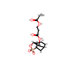 CCC(C)C(=O)OCCC(=O)OC1C2CCC3C1OS(=O)(=O)C3C2